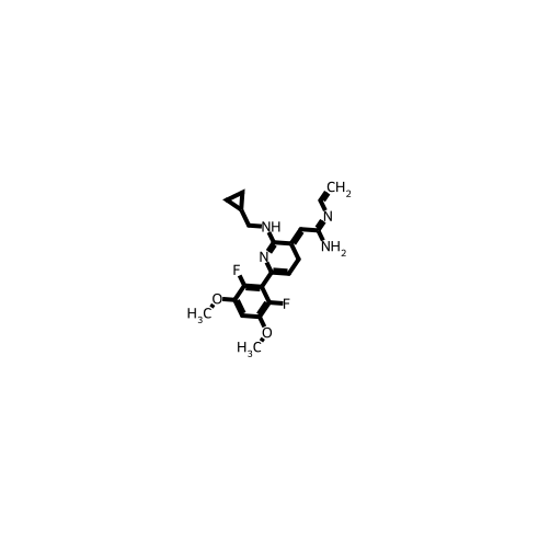 C=C/N=C(N)\C=C1/CC=C(c2c(F)c(OC)cc(OC)c2F)N=C1NCC1CC1